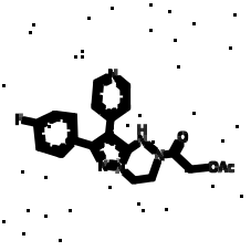 CC(=O)OCC(=O)N1CCn2nc(-c3ccc(F)cc3)c(-c3ccncc3)c2N1